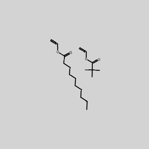 C=COC(=O)C(C)(C)C.C=COC(=O)CCCCCCCCC